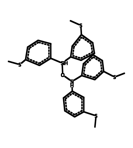 CSc1cccc([SiH](O[SiH](c2cccc(SC)c2)c2cccc(SC)c2)c2cccc(SC)c2)c1